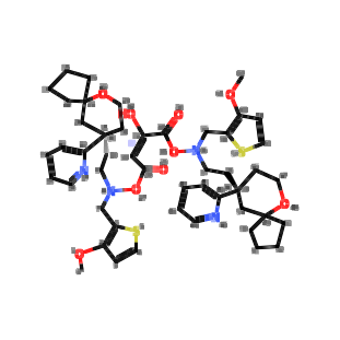 COc1ccsc1CN(CC[C@@]1(c2ccccn2)CCOC2(CCCC2)C1)OC(=O)/C=C(/O)C(=O)ON(CC[C@@]1(c2ccccn2)CCOC2(CCCC2)C1)Cc1sccc1OC